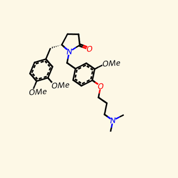 COc1ccc(C[C@@H]2CCC(=O)N2Cc2ccc(OCCCN(C)C)c(OC)c2)cc1OC